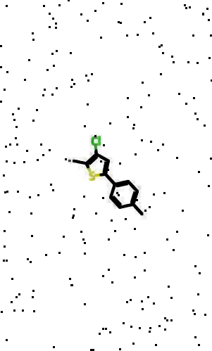 [CH2]c1sc(-c2ccc(C)cc2)cc1Cl